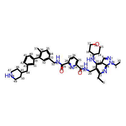 CCc1nc2c(cnn2CC)c(NC2CCOCC2)c1CNC(=O)c1cccc(C(=O)NCc2ccc(C)c(-c3cccc(CC4CCNCC4)c3)c2)n1